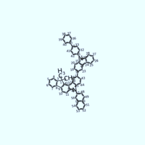 CC1(C)c2ccccc2-c2ccc3c(c21)c1cc(-c2ccc4c(c2)c2ccccc2n4-c2ccc(-c4ccccc4)cc2)ccc1n3-c1ccc2ccccc2c1